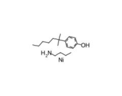 CCCCCC(C)(C)c1ccc(O)cc1.CCCCN.[Ni]